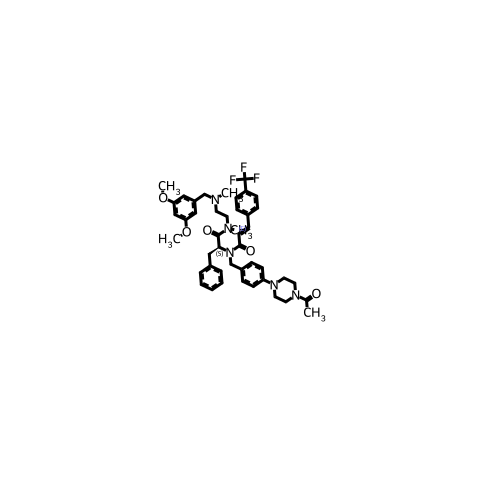 COc1cc(CN(C)CCN(C)C(=O)[C@H](Cc2ccccc2)N(Cc2ccc(N3CCN(C(C)=O)CC3)cc2)C(=O)/C=C/c2ccc(C(F)(F)F)cc2)cc(OC)c1